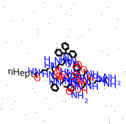 CCCCCCCC(=O)NCCCC[C@H](NC(=O)[C@@H](N)Cc1cn(C(c2ccccc2)(c2ccccc2)c2ccccc2)cn1)C(=O)N[C@@H](Cc1ccccc1)C(=O)N[C@@H](Cc1ccc(O)cc1)C(=O)N[C@@H](Cc1c[nH]cn1)C(=O)N[C@@H](CCC(N)=O)C(=O)N[C@@H](CCC(N)=O)C(=O)N[C@@H](C)C(=O)N[C@@H](CCCNC(=N)N)C(=O)N[C@@H](Cc1ccccc1)C(N)=O